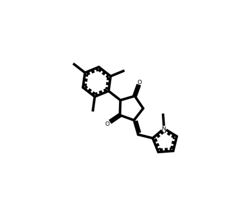 Cc1cc(C)c(C2C(=O)CC(=Cc3cccn3C)C2=O)c(C)c1